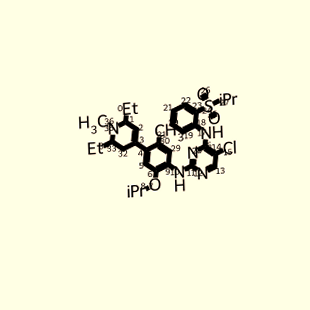 CCC1C=C(c2cc(OC(C)C)c(Nc3ncc(Cl)c(Nc4ccccc4S(=O)(=O)C(C)C)n3)cc2C)CC(CC)N1C